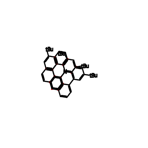 CC(C)(C)c1ccc(-c2ccccc2N(c2ccc(C(C)(C)C)cc2-c2ccccc2)c2ccccc2-c2cccc3cccc(-c4cc(C(C)(C)C)cc(C(C)(C)C)c4)c23)cc1